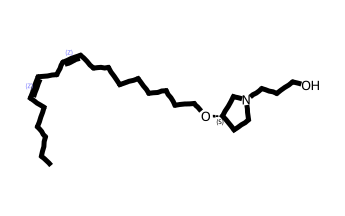 CCCCC/C=C\C/C=C\CCCCCCCCO[C@H]1CCN(CCCO)C1